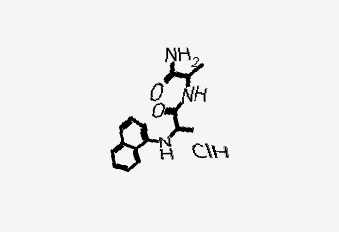 CC(NC(=O)C(C)Nc1cccc2ccccc12)C(N)=O.Cl